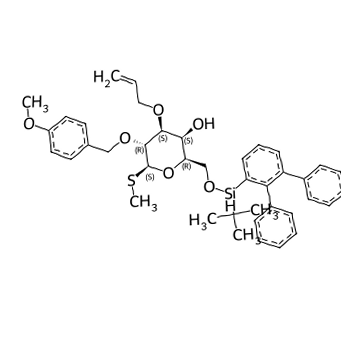 C=CCO[C@H]1[C@@H](O)[C@@H](CO[SiH](c2cccc(-c3ccccc3)c2-c2ccccc2)C(C)(C)C)O[C@@H](SC)[C@@H]1OCc1ccc(OC)cc1